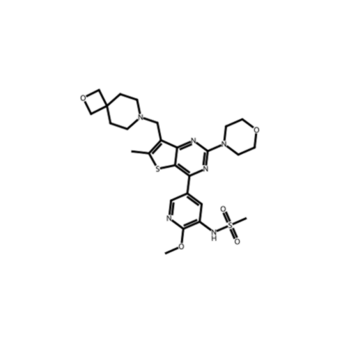 COc1ncc(-c2nc(N3CCOCC3)nc3c(CN4CCC5(CC4)COC5)c(C)sc23)cc1NS(C)(=O)=O